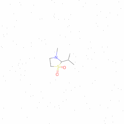 CC(C)C1N(C)CCS1(=O)=O